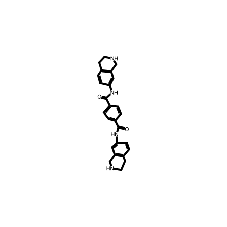 O=C(Nc1ccc2c(c1)CNCC2)c1ccc(C(=O)Nc2ccc3c(c2)CNCC3)cc1